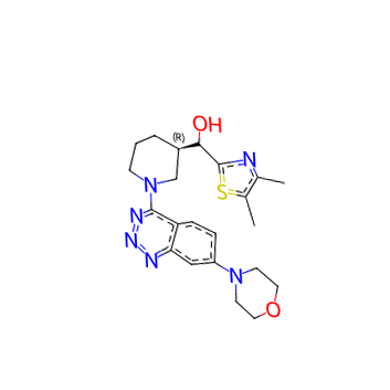 Cc1nc(C(O)[C@@H]2CCCN(c3nnnc4cc(N5CCOCC5)ccc34)C2)sc1C